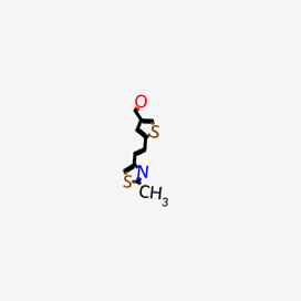 Cc1nc(C=Cc2cc(C=O)cs2)cs1